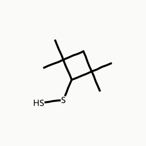 CC1(C)CC(C)(C)C1SS